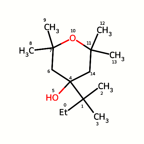 CCC(C)(C)C1(O)CC(C)(C)OC(C)(C)C1